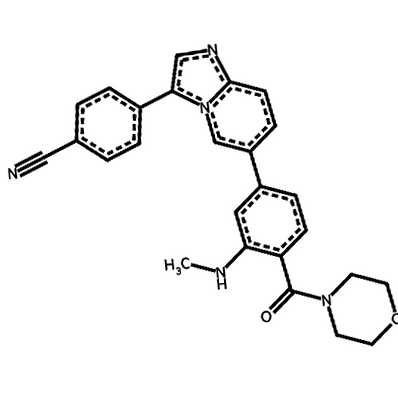 CNc1cc(-c2ccc3ncc(-c4ccc(C#N)cc4)n3c2)ccc1C(=O)N1CCOCC1